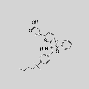 CCCCC(C)(C)c1ccc(CC(N)(c2cccc(NCC(=O)O)n2)S(=O)(=O)c2ccccc2)cc1